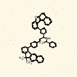 CC1(C)c2cc3ccccc3cc2-c2c(-c3ccc(/C=C/C(NC(N)c4ccccc4)c4cccc(-c5cccc6oc7ccc8ccccc8c7c56)c4)cc3)cccc21